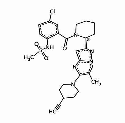 C#CC1CCN(c2nc3cc([C@@H]4CCCCN4C(=O)c4cc(Cl)ccc4NS(C)(=O)=O)nn3cc2C)CC1